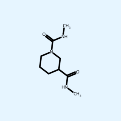 CNC(=O)C1CCCN(C(=O)NC)C1